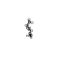 O=C(OCc1cc(Cl)cc(Cl)c1)N1CCC2CN(C(=O)c3ccc4[nH]c(=O)oc4c3)C[C@H]2C1